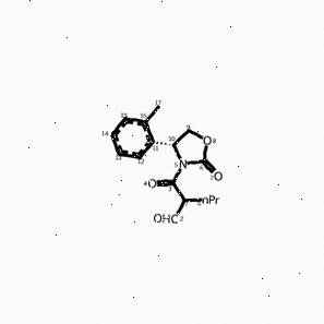 CCCC(C=O)C(=O)N1C(=O)OC[C@H]1c1ccccc1C